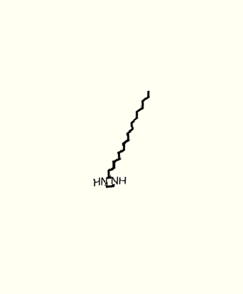 CCCCCCCCCCCCCCCCCC1NCCN1